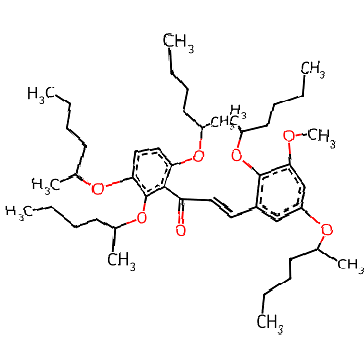 CCCCC(C)Oc1cc(C=CC(=O)c2c(OC(C)CCCC)ccc(OC(C)CCCC)c2OC(C)CCCC)c(OC(C)CCCC)c(OC)c1